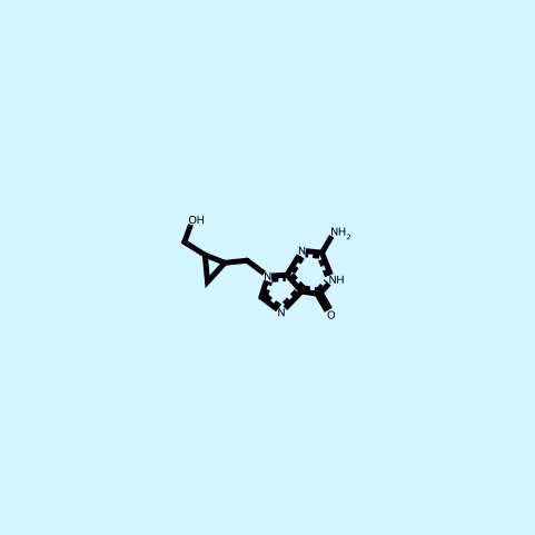 Nc1nc2c(ncn2CC2CC2CO)c(=O)[nH]1